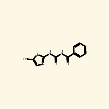 CC(C)c1cnc(NC(=O)NC(=O)c2ccccc2)s1